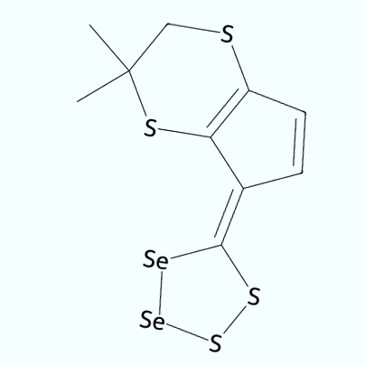 CC1(C)CSC2=C(S1)C(=C1SS[Se][Se]1)C=C2